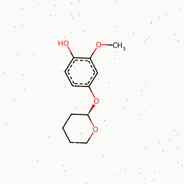 COc1cc(O[C@@H]2CCCCO2)ccc1O